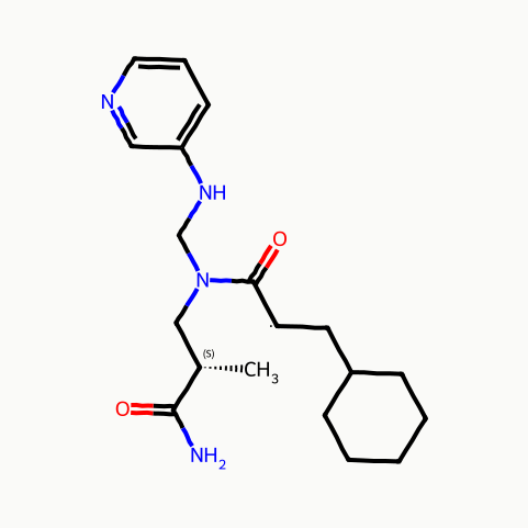 C[C@@H](CN(CNc1cccnc1)C(=O)[CH]CC1CCCCC1)C(N)=O